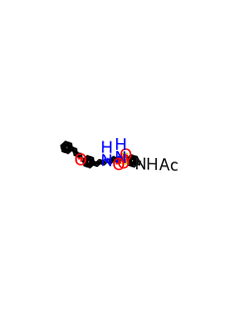 CC(=O)Nc1ccc(S(=O)(=O)NC(=O)CCNCCCc2ccc(OCCCc3ccccc3)cc2)cc1